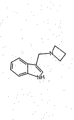 c1ccc2c(CN3CCC3)c[nH]c2c1